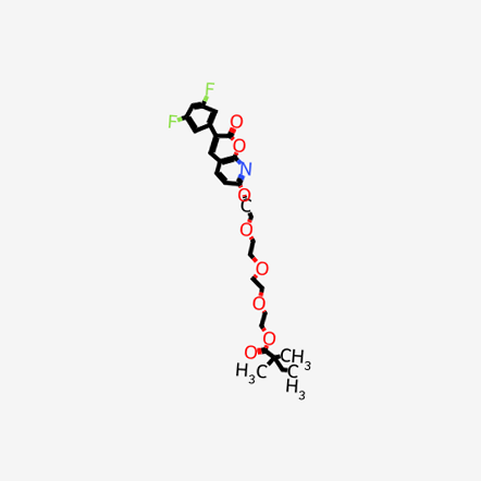 CCC(C)(C)C(=O)OCCOCCOCCOCCOc1ccc2cc(-c3cc(F)cc(F)c3)c(=O)oc2n1